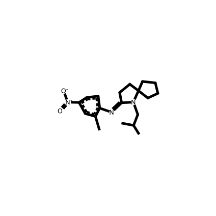 Cc1cc([N+](=O)[O-])ccc1N=C1CCC2(CCCC2)N1CC(C)C